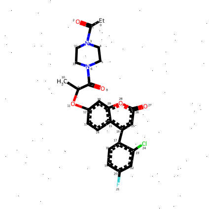 CCC(=O)N1CCN(C(=O)C(C)Oc2ccc3c(-c4ccc(F)cc4Cl)cc(=O)oc3c2)CC1